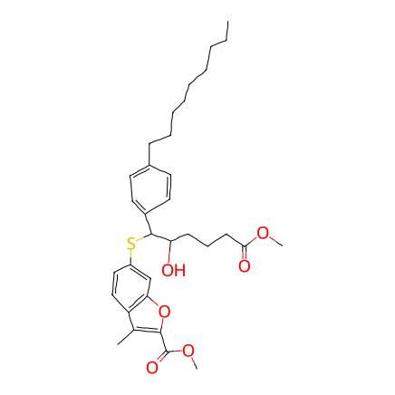 CCCCCCCCCc1ccc(C(Sc2ccc3c(C)c(C(=O)OC)oc3c2)C(O)CCCC(=O)OC)cc1